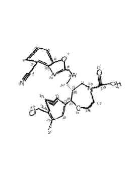 N#Cc1cccc2oc(NC[C@@H]3CN(C(=O)O)CCO[C@H]3c3ccc(Cl)c(F)c3)nc12